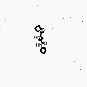 O=C(Nc1ccccc1)c1c[nH]c(-c2cnc3ccccn23)c1